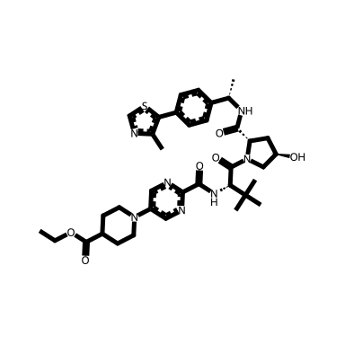 CCOC(=O)C1CCN(c2cnc(C(=O)N[C@H](C(=O)N3C[C@H](O)C[C@H]3C(=O)N[C@@H](C)c3ccc(-c4scnc4C)cc3)C(C)(C)C)nc2)CC1